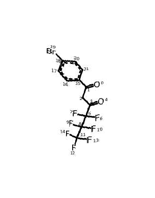 O=C(CC(=O)C(F)(F)C(F)(F)C(F)(F)F)c1ccc(Br)cc1